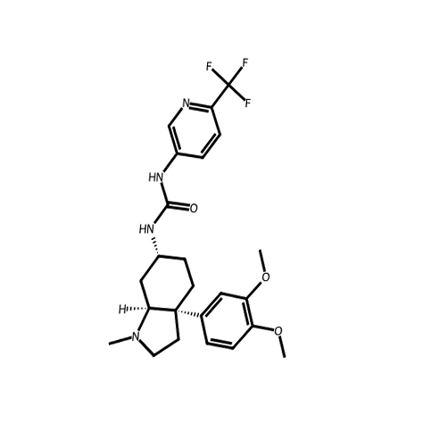 COc1ccc([C@@]23CC[C@@H](NC(=O)Nc4ccc(C(F)(F)F)nc4)C[C@@H]2N(C)CC3)cc1OC